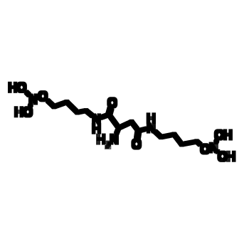 NC(CC(=O)NCCCCON(O)O)C(=O)NCCCCON(O)O